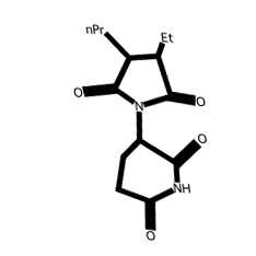 CCCC1C(=O)N(C2CCC(=O)NC2=O)C(=O)C1CC